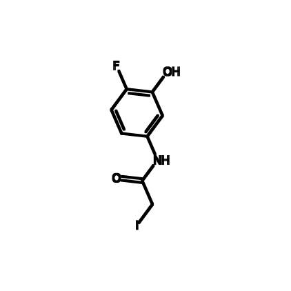 O=C(CI)Nc1ccc(F)c(O)c1